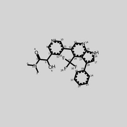 CN(C)C(=O)C(O)c1cncc(-c2cnc3[nH]cc(-c4ccccc4)c3c2C(F)(F)F)c1